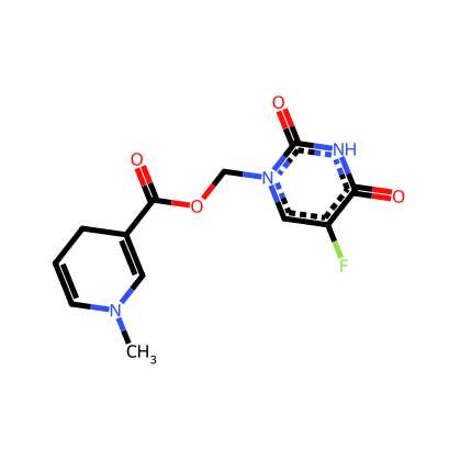 CN1C=CCC(C(=O)OCn2cc(F)c(=O)[nH]c2=O)=C1